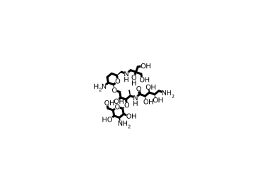 C[C@@H](NC(=O)[C@@H](O)[C@@H](O)[C@@H](O)CN)C(O[C@H]1OC(CO)C(O)[C@H](N)C1O)C(O)CO[C@H]1O[C@H](CNCC(O)(CO)CO)CCC1N